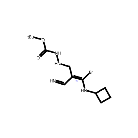 CC(C)(C)OC(=O)NNC/C(C=N)=C(\Br)NC1CCC1